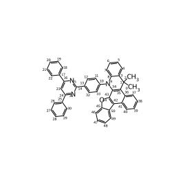 CC1(C)c2ccccc2N(c2ccc(-c3nc(-c4ccccc4)cc(-c4ccccc4)n3)cc2)c2c1c1ccccc1c1c2oc2ccccc21